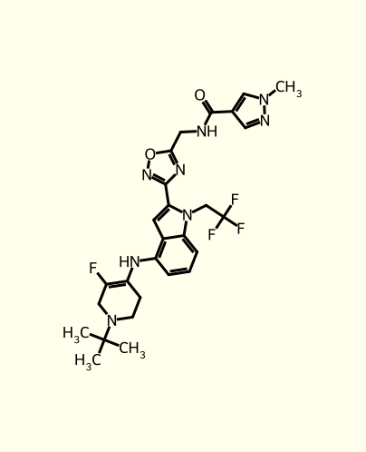 Cn1cc(C(=O)NCc2nc(-c3cc4c(NC5=C(F)CN(C(C)(C)C)CC5)cccc4n3CC(F)(F)F)no2)cn1